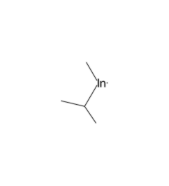 [CH3][In][CH](C)C